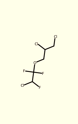 FC(Cl)C(F)(F)OCC(Cl)CCl